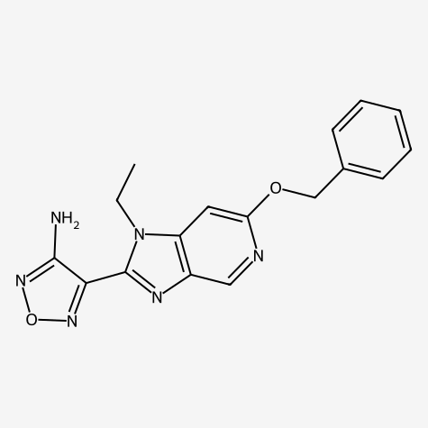 CCn1c(-c2nonc2N)nc2cnc(OCc3ccccc3)cc21